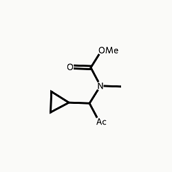 COC(=O)N(C)C(C(C)=O)C1CC1